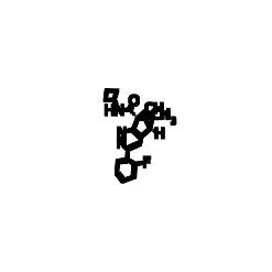 CC1(C)[C@H]2CC[C@]1(C(=O)NC1CCC1)c1nnc(-c3ccccc3F)cc12